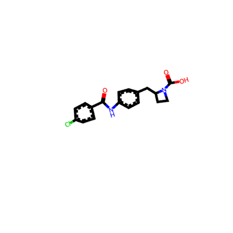 O=C(Nc1ccc(CC2CCN2C(=O)O)cc1)c1ccc(Cl)cc1